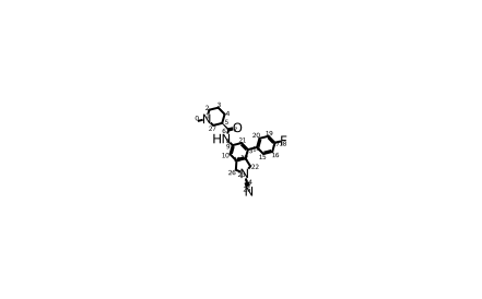 CN1CCC[C@@H](C(=O)Nc2cc3c(c(-c4ccc(F)cc4)c2)CN(C#N)C3)C1